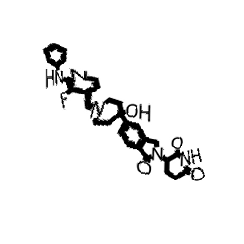 O=C1CCC(N2Cc3cc(C4(O)CCN(Cc5ccnc(Nc6ccccc6)c5F)CC4)ccc3C2=O)C(=O)N1